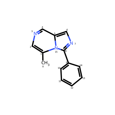 Cc1cncc2cnc(-c3ccccc3)n12